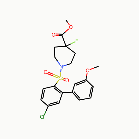 COC(=O)C1(F)CCN(S(=O)(=O)c2ccc(Cl)cc2-c2cccc(OC)c2)CC1